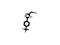 NCc1nnc(-c2ccc(C(F)(F)F)cc2)[nH]1